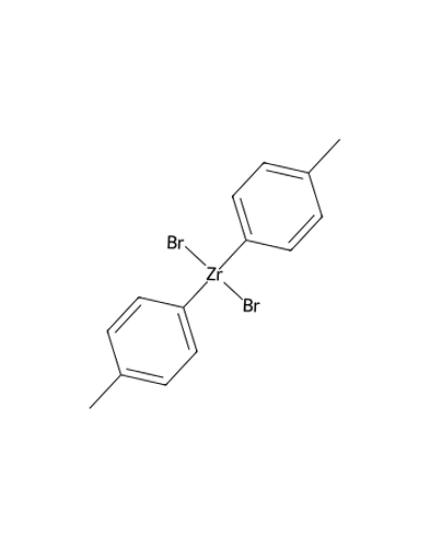 Cc1cc[c]([Zr]([Br])([Br])[c]2ccc(C)cc2)cc1